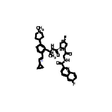 C[C@H](NC(=O)[C@@H]1C[C@@H](F)CN1C(=O)CNC(=O)c1ccc2cc(F)ccc2n1)c1cc(C2CCN(C)CC2)ccc1/C=C/C1CC1